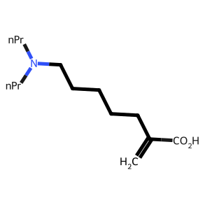 C=C(CCCCCN(CCC)CCC)C(=O)O